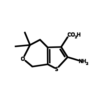 CC1(C)Cc2c(sc(N)c2C(=O)O)CO1